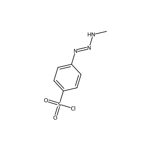 CNN=Nc1ccc(S(=O)(=O)Cl)cc1